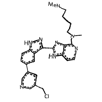 CNCCCCN(C)c1nccc2[nH]c(-c3n[nH]c4ccc(-c5cncc(CCl)c5)cc34)nc12